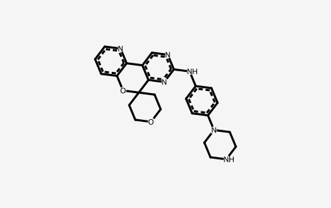 c1cnc2c(c1)OC1(CCOCC1)c1nc(Nc3ccc(N4CCNCC4)cc3)ncc1-2